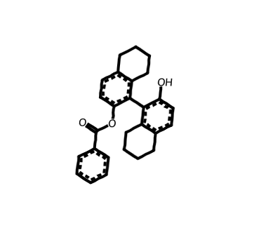 O=C(Oc1ccc2c(c1-c1c(O)ccc3c1CCCC3)CCCC2)c1ccccc1